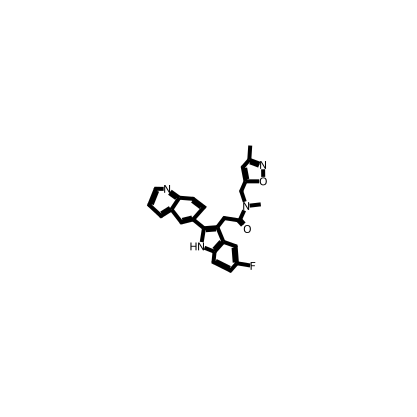 Cc1cc(CN(C)C(=O)Cc2c(-c3ccc4ncccc4c3)[nH]c3ccc(F)cc23)on1